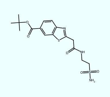 CC(C)(C)OC(=O)c1ccc2nc(CC(=O)NCCS(N)(=O)=O)sc2c1